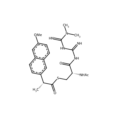 COc1ccc2cc([C@@H](C)C(=O)SC[C@@H](NC(C)=O)C(=O)NC(=N)NC(=N)N(C)C)ccc2c1